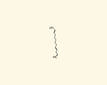 [CH]=CCC=CCCCCCC=CCCC